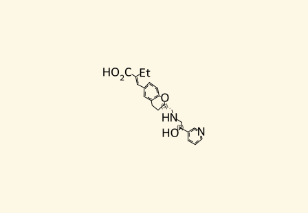 CCC(=Cc1ccc2c(c1)CC[C@@H](CNC[C@H](O)c1cccnc1)O2)C(=O)O